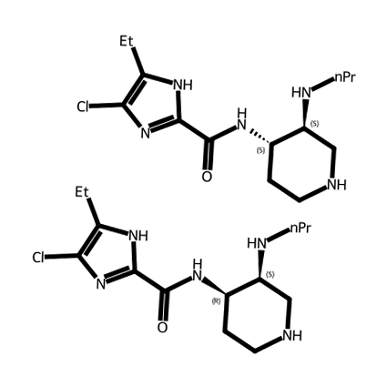 CCCN[C@H]1CNCC[C@@H]1NC(=O)c1nc(Cl)c(CC)[nH]1.CCCN[C@H]1CNCC[C@H]1NC(=O)c1nc(Cl)c(CC)[nH]1